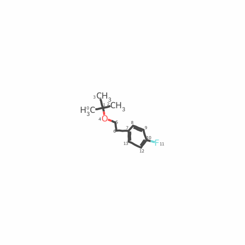 CC(C)(C)OCCc1ccc(F)cc1